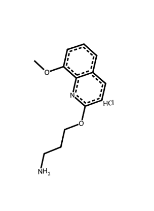 COc1cccc2ccc(OCCCN)nc12.Cl